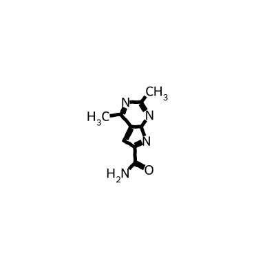 CC1=NC2N=C(C(N)=O)C=C2C(C)=N1